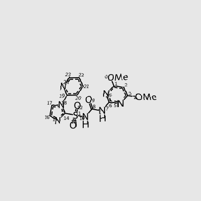 COc1cc(OC)nc(NC(=O)NS(=O)(=O)c2nccn2-c2ccccn2)n1